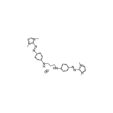 Cn1cc[n+](C)c1N=Nc1ccc(NCCCNc2ccc(N=Nc3n(C)cc[n+]3C)cc2)cc1.[Cl-].[Cl-]